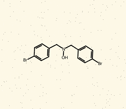 ON(Cc1ccc(Br)cc1)Cc1ccc(Br)cc1